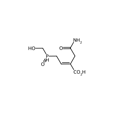 NC(=O)CC(=CC[PH](=O)CO)C(=O)O